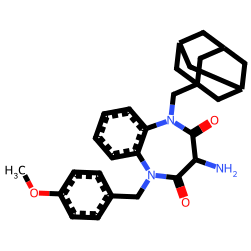 COc1ccc(CN2C(=O)C(N)C(=O)N(CC34CC5CC(CC(C5)C3)C4)c3ccccc32)cc1